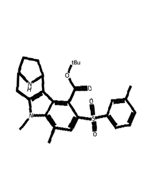 Cc1cccc(S(=O)(=O)c2cc(C)c3c(c2C(=O)OC(C)(C)C)c2c(n3C)CC3CCC2N3)c1